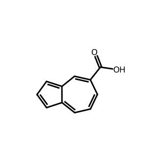 O=C(O)c1cccc2cccc-2c1